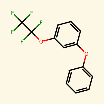 FC(F)(F)C(F)(F)Oc1cccc(Oc2[c]cccc2)c1